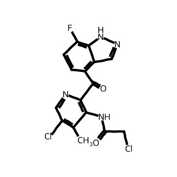 Cc1c(Cl)cnc(C(=O)c2ccc(F)c3[nH]ncc23)c1NC(=O)CCl